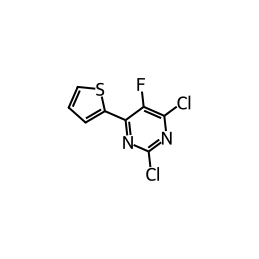 Fc1c(Cl)nc(Cl)nc1-c1cccs1